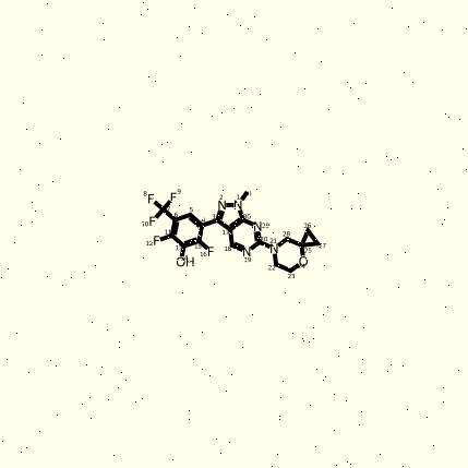 Cn1nc(-c2cc(C(F)(F)F)c(F)c(O)c2F)c2cnc(N3CCOC4(CC4)C3)nc21